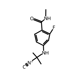 [C-]#[N+]C(C)(C)Nc1ccc(C(=O)NC)c(F)c1